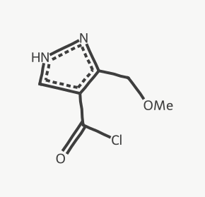 COCc1n[nH]cc1C(=O)Cl